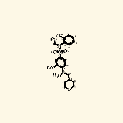 CCCc1cc(S(=O)(=O)N(CC(C)C)c2ccccc2Cl)ccc1N(N)CC1CCOCC1